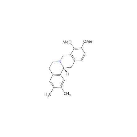 COc1ccc2c(c1OC)CN1CCc3cc(C)c(C)cc3[C@H]1C2